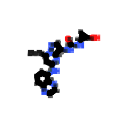 CNc1cc(Nc2cccc3nccnc23)nc2c(NC(=O)NC3CC3O)cnn12